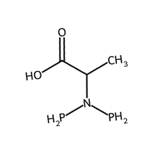 CC(C(=O)O)N(P)P